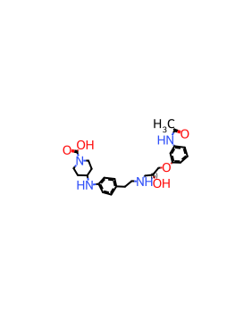 CC(=O)Nc1cccc(OC[C@@H](O)CNCCc2ccc(NC3CCN(C(=O)O)CC3)cc2)c1